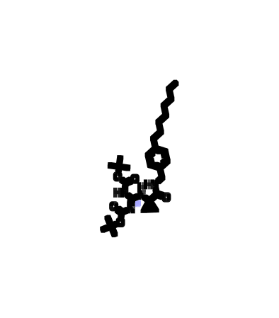 CCCCCCCCc1ccc(CNC(=O)C2(N/C(=N/C(=O)OC(C)(C)C)NC(=O)OC(C)(C)C)CC2)cc1